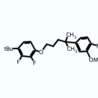 COc1cc(C(C)(C)CCCOc2ccc(C(C)(C)C)c(F)c2F)ccc1F